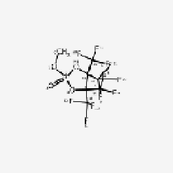 COP1(=O)OC(C(F)(F)F)(C(F)(F)F)C(C(F)(F)F)(C(F)(F)F)O1